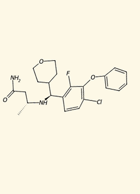 C[C@H](CC(N)=O)N[C@H](c1ccc(Cl)c(Oc2ccccc2)c1F)C1CCOCC1